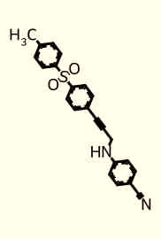 Cc1ccc(S(=O)(=O)c2ccc(C#CCNc3ccc(C#N)cc3)cc2)cc1